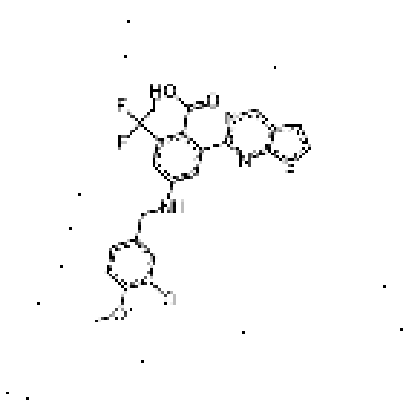 COc1ccc(CNc2cc(-c3ncc4ccsc4n3)c(C(=O)O)c(C(F)(F)F)c2)cc1Cl